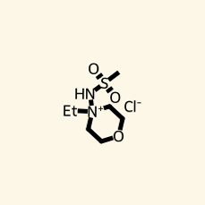 CC[N+]1(NS(C)(=O)=O)CCOCC1.[Cl-]